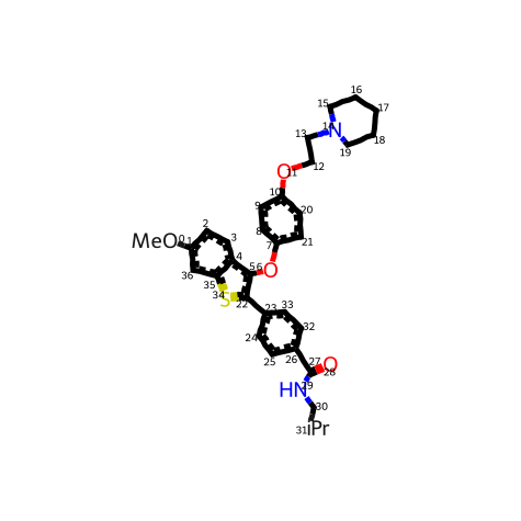 COc1ccc2c(Oc3ccc(OCCN4CCCCC4)cc3)c(-c3ccc(C(=O)NCC(C)C)cc3)sc2c1